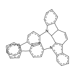 C1=CC2c3ccccc3N(c3ccc(-c4ccccc4)cc3)C2c2c1c1ccccc1n2-c1ccc(-c2ccccc2)cc1